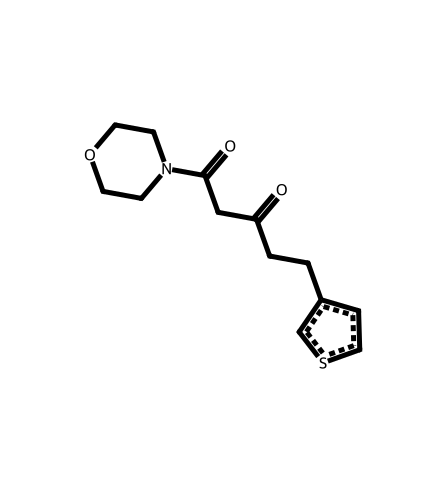 O=C(CCc1ccsc1)CC(=O)N1CCOCC1